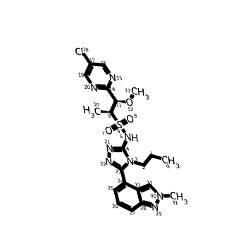 CCCn1c(NS(=O)(=O)[C@@H](C)[C@H](OC)c2ncc(Cl)cn2)nnc1-c1cccc2nn(C)cc12